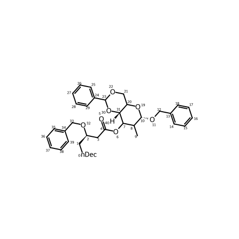 CCCCCCCCCCC[C@H](CC(=O)OC1C(C)[C@@H](OCc2ccccc2)OC2COC(c3ccccc3)O[C@H]21)OCc1ccccc1